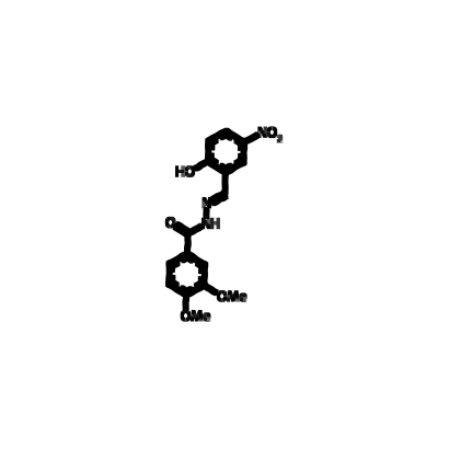 COc1ccc(C(=O)NN=Cc2cc([N+](=O)[O-])ccc2O)cc1OC